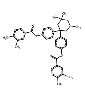 Cc1ccc(C(=O)Oc2ccc(C3(c4ccc(OC(=O)c5ccc(C)c(C)c5)cc4)CC(C)CC(C)(C)C3)cc2)cc1C